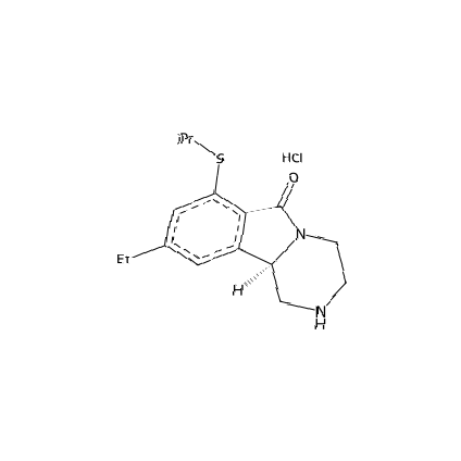 CCc1cc(SC(C)C)c2c(c1)[C@@H]1CNCCN1C2=O.Cl